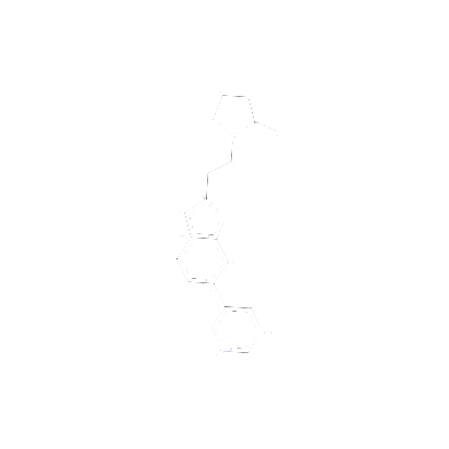 CC1CCCN1CCc1cc2ccc(-c3cncnc3)cc2o1